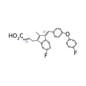 CC1=C(C/C=C/C(=O)O)c2cc(F)ccc2/C1=C\c1ccc(Oc2ccc(F)cc2)cc1